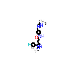 Cc1cn(Cc2ccc(NC(=O)C=Cc3cnn(C)c3-c3ccc(F)cc3)cc2)cn1